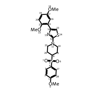 COc1ccc(S(=O)(=O)C2CCN(c3nc(-c4cc(OC)ccc4OC)cs3)CC2)cc1